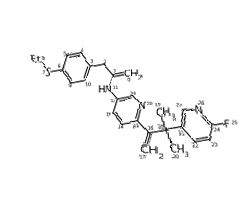 C=C(Cc1ccc(SCC)cc1)Nc1ccc(C(=C)C(C)(C)c2ccc(F)nc2)nc1